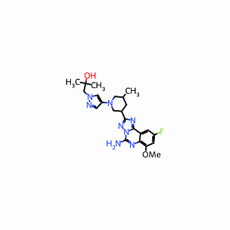 COc1cc(F)cc2c1nc(N)n1nc(C3CC(C)CN(c4cnn(CC(C)(C)O)c4)C3)nc21